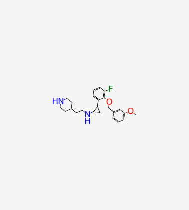 COc1cccc(COc2c(F)cccc2C2CC2NCCC2CCNCC2)c1